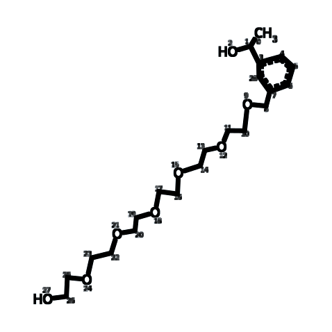 CC(O)c1cccc(COCCOCCOCCOCCOCCOCCO)c1